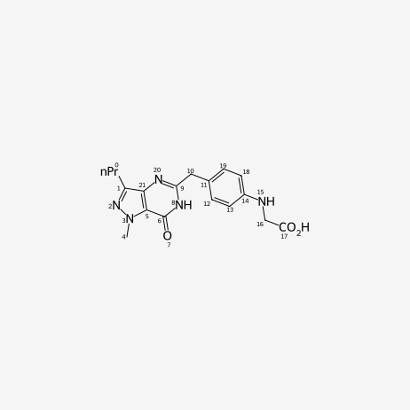 CCCc1nn(C)c2c(=O)[nH]c(Cc3ccc(NCC(=O)O)cc3)nc12